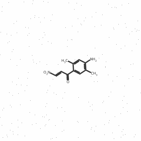 Cc1cc(C(=O)C=C[N+](=O)[O-])c(C)cc1N